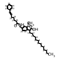 CCCCCCCCCCCCCCC(C(=O)O)c1ccc(CNC(=O)CCCCC#Cc2ccccc2)cc1OC